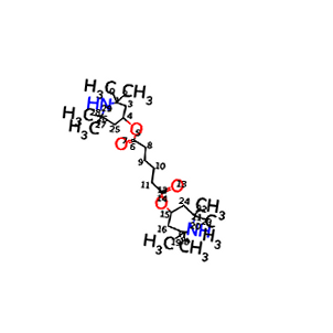 CC1(C)CC(OC(=O)CCCCC(=O)OC2CC(C)(C)NC(C)(C)C2)CC(C)(C)N1